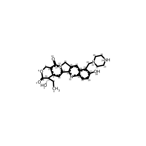 CC[C@@]1(O)C(=O)OCc2c1cc1n(c2=O)Cc2cc3c(CN4CCNCC4)c(O)ccc3nc2-1